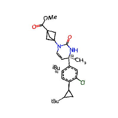 CC[C@H](C)C1=CN(C23CC(C(=O)OC)(C2)C3)C(=O)N[C@@]1(C)c1ccc(C2CC2C(C)(C)C)c(Cl)c1